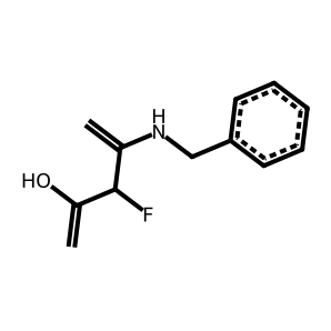 C=C(O)C(F)C(=C)NCc1ccccc1